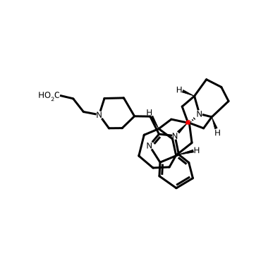 O=C(O)CCN1CCC(Cc2nc3ccccc3n2[C@@H]2C[C@H]3CCC[C@@H](C2)N3[C@@H]2C[C@@H]3CCCC[C@@H](C3)C2)CC1